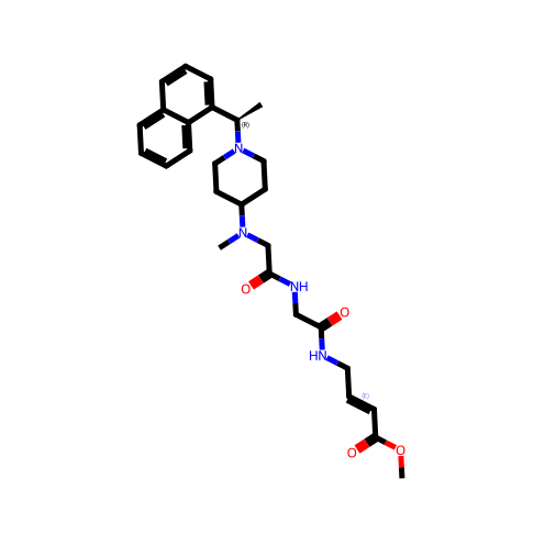 COC(=O)/C=C/CNC(=O)CNC(=O)CN(C)C1CCN([C@H](C)c2cccc3ccccc23)CC1